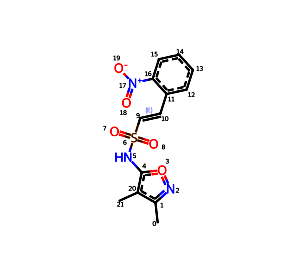 Cc1noc(NS(=O)(=O)/C=C/c2ccccc2[N+](=O)[O-])c1C